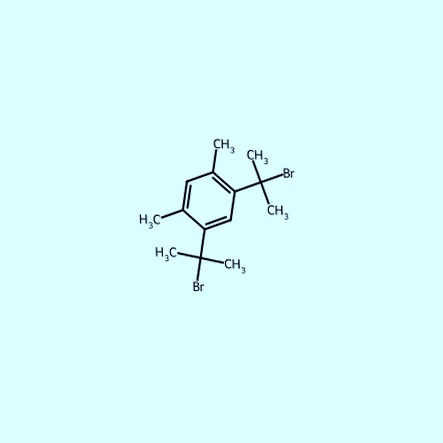 Cc1cc(C)c(C(C)(C)Br)cc1C(C)(C)Br